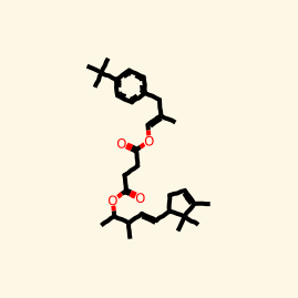 CC(=COC(=O)CCC(=O)OC(C)C(C)C=CC1CC=C(C)C1(C)C)Cc1ccc(C(C)(C)C)cc1